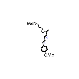 C=C(/C=C/C=C/c1ccc(OC)cc1)OCCCNC